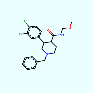 COCNC(=O)C1CCN(Cc2ccccc2)CC1c1ccc(F)c(F)c1